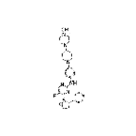 CN1CCN(C2CCN(c3ccc(Nc4ncc(F)c(N5OCCC5c5ccccc5)n4)cc3)CC2)CC1